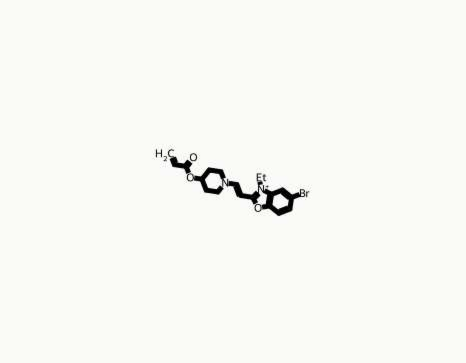 C=CC(=O)OC1CCN(C=Cc2oc3ccc(Br)cc3[n+]2CC)CC1